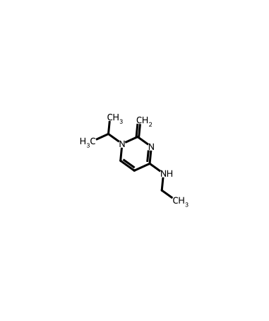 C=C1N=C(NCC)C=CN1C(C)C